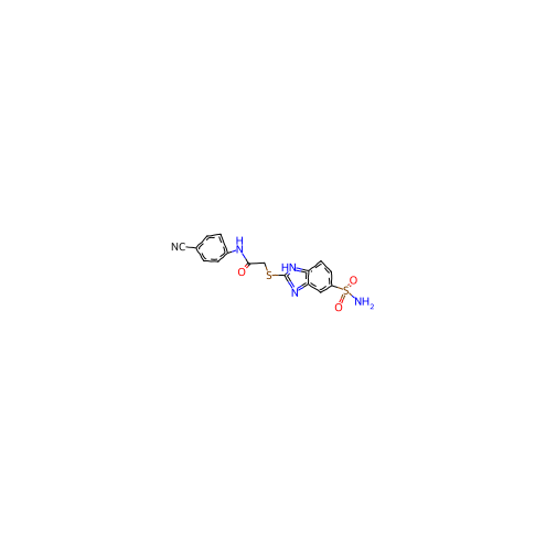 N#Cc1ccc(NC(=O)CSc2nc3cc(S(N)(=O)=O)ccc3[nH]2)cc1